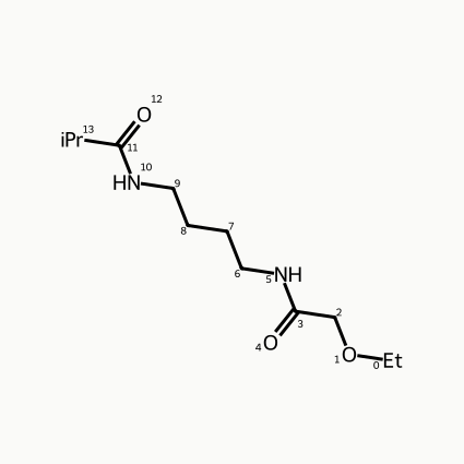 CCOCC(=O)NCCCCNC(=O)C(C)C